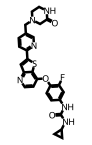 O=C1CN(Cc2ccc(-c3cc4nccc(Oc5ccc(NC(=O)NC6CC6)cc5F)c4s3)nc2)CCN1